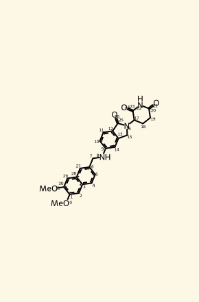 COc1cc2ccc(CNc3ccc4c(c3)CN(C3CCC(=O)NC3=O)C4=O)cc2cc1OC